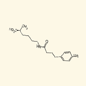 C[C@@H](CCCCNC(=O)CCCc1ccc([124I])cc1)C(=O)O